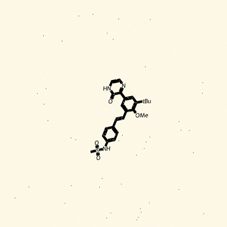 COc1c(C=Cc2ccc(NS(C)(=O)=O)cc2)cc(-c2ncc[nH]c2=O)cc1C(C)(C)C